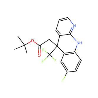 CC(C)(C)OC(=O)CC1(C(F)(F)F)c2cc(F)ccc2Nc2ncccc21